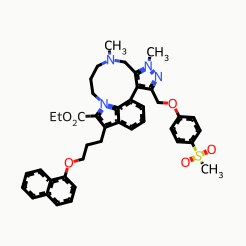 CCOC(=O)c1c(CCCOc2cccc3ccccc23)c2cccc3c2n1CCCN(C)Cc1c-3c(COc2ccc(S(C)(=O)=O)cc2)nn1C